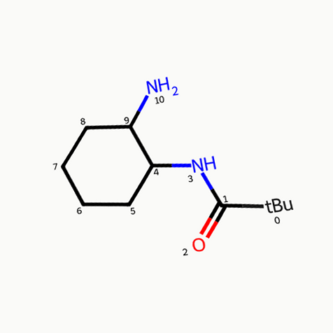 CC(C)(C)C(=O)NC1CCCCC1N